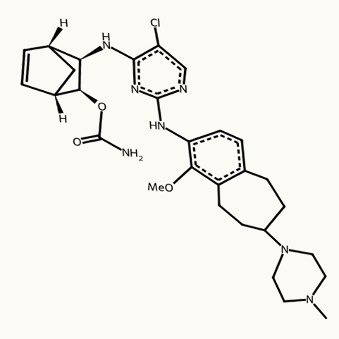 COc1c(Nc2ncc(Cl)c(N[C@H]3[C@@H](OC(N)=O)[C@@H]4C=C[C@H]3C4)n2)ccc2c1CCC(N1CCN(C)CC1)CC2